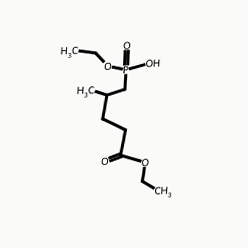 CCOC(=O)CCC(C)CP(=O)(O)OCC